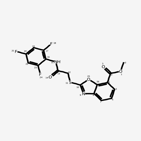 COC(=O)c1cccc2nc(SCC(=O)Nc3c(F)cc(F)cc3F)oc12